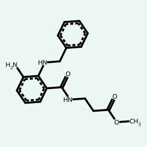 COC(=O)CCNC(=O)c1cccc(N)c1NCc1ccccc1